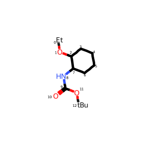 CCOC1CCCCC1NC(=O)OC(C)(C)C